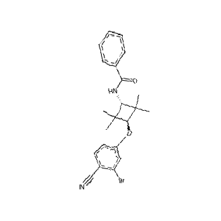 CC1(C)[C@H](NC(=O)c2ccccc2)C(C)(C)[C@H]1Oc1ccc(C#N)c(Br)c1